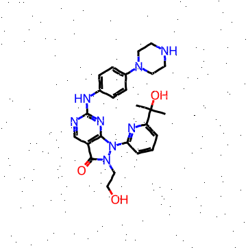 CC(C)(O)c1cccc(-n2c3nc(Nc4ccc(N5CCNCC5)cc4)ncc3c(=O)n2CCO)n1